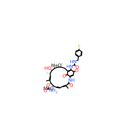 CO[C@H]1/C=C\C=C(/C)C(=O)NC2=CC(=O)C(NC(=O)NCc3ccc(F)cc3)=C(C[C@@H](C)C[C@H](OC)[C@H](O)[C@@H](C)/C=C(\C)[C@@H]1OC(N)=O)C2=O